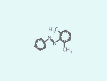 Cc1cccc(C)c1N=Nc1ccccc1